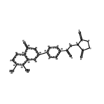 O=C(ON1C(=O)CCC1=O)c1ccc(-c2cc(=O)c3ccc(O)c(O)c3o2)cc1